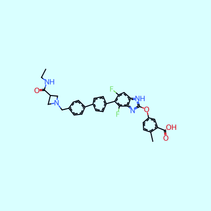 CCNC(=O)C1CN(Cc2ccc(-c3ccc(-c4c(F)cc5[nH]c(Oc6ccc(C)c(C(=O)O)c6)nc5c4F)cc3)cc2)C1